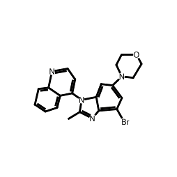 Cc1nc2c(Br)cc(N3CCOCC3)cc2n1-c1ccnc2ccccc12